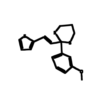 COc1cccc(C2(C=Cc3cccs3)SCCCS2)c1